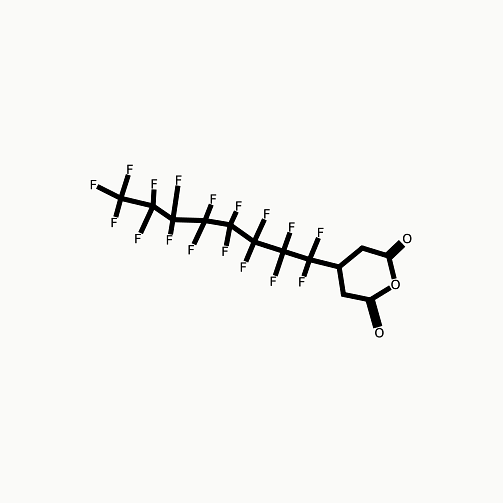 O=C1CC(C(F)(F)C(F)(F)C(F)(F)C(F)(F)C(F)(F)C(F)(F)C(F)(F)C(F)(F)F)CC(=O)O1